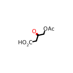 CC(=O)OCC(=O)CC(=O)O